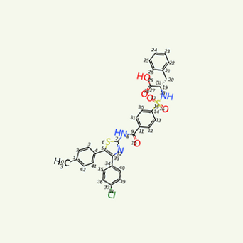 Cc1ccc(-c2sc(NC(=O)c3ccc(S(=O)(=O)N[C@@H](Cc4ccccc4)C(=O)O)cc3)nc2-c2ccc(Cl)cc2)cc1